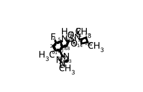 Cc1cc(F)c2[nH]c(S(=O)(=O)N(C)[C@H]3C[C@@H](C)C3)cc2c1-c1ncn(C)n1